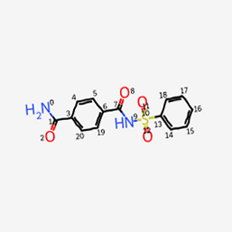 NC(=O)c1ccc(C(=O)NS(=O)(=O)c2ccccc2)cc1